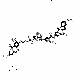 C=C1CC2C=Nc3cc(OCCCC(=O)Nc4cn(C)c(C(=O)Nc5cc(C(=O)Nc6cc(C(=O)n7ccc8cc(SC)ccc87)n(C)c6)n(C)c5)n4)c(C)cc3C(=O)N2C1